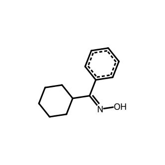 O/N=C(\c1ccccc1)C1CCCCC1